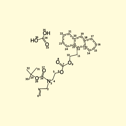 C=CCN(CCOC(=O)OCCc1c2ccccc2cc2ccccc12)C(=O)OC(C)(C)C.O=C(O)O